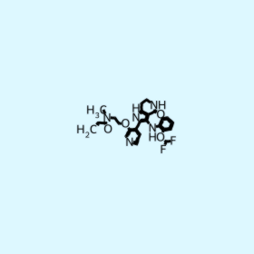 C=CC(=O)N(C)CCOc1cnccc1-c1[nH]c2c(c1Nc1ccccc1OC(F)F)C(=O)NCC2